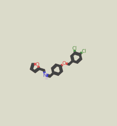 Clc1ccc(COc2ccc(/C=N\Cc3ccco3)cc2)cc1Cl